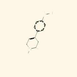 [CH2]CCCN1CC=C(c2ccc(OC(F)(F)F)cc2)CC1